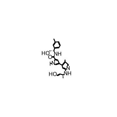 Cc1cccc([C@@H](CO)NC(=O)c2cc(-c3cc(N[C@@H](C)C=CO)ncc3C)cn2I)c1